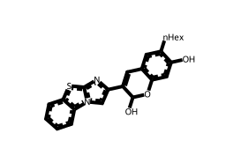 CCCCCCc1cc2c(cc1O)OC(O)C(c1cn3c(n1)sc1ccccc13)=C2